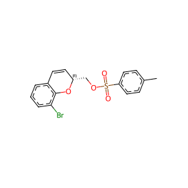 Cc1ccc(S(=O)(=O)OC[C@H]2C=Cc3cccc(Br)c3O2)cc1